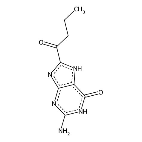 CCCC(=O)c1nc2nc(N)[nH]c(=O)c2[nH]1